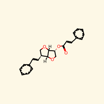 O=C(/C=C/c1ccccc1)O[C@@H]1CO[C@H]2[C@@H]1OC[C@@H]2C=Cc1ccccc1